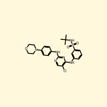 CC(C)(C)NS(=O)(=O)c1cccc(Nc2nc(Nc3ccc(N4CCOCC4)cc3)ncc2Cl)c1